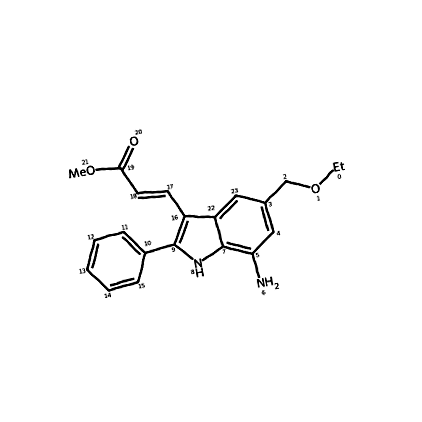 CCOCc1cc(N)c2[nH]c(-c3ccccc3)c(/C=C/C(=O)OC)c2c1